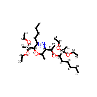 CCCCCC(OC(C)C(N)C(C)OC(CCCCC)[Si](C)(OCC)OCC)[Si](C)(OCC)OCC